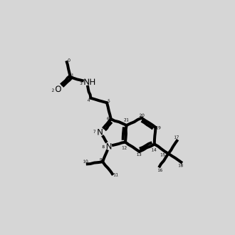 CC(=O)NCCc1nn(C(C)C)c2cc(C(C)(C)C)ccc12